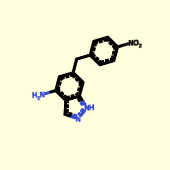 Nc1cc(Cc2ccc([N+](=O)[O-])cc2)cc2[nH]ncc12